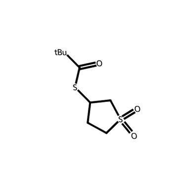 CC(C)(C)C(=O)SC1CCS(=O)(=O)C1